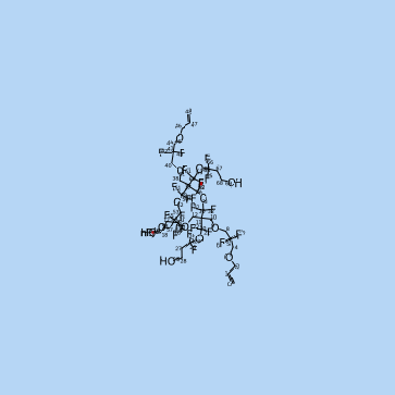 C=CCOCC(F)(F)COCC(COC(F)(F)CCO)(C(F)(F)OC(F)(F)CCO)C(F)(F)OC(F)(F)C(COCC(F)(F)COCC=C)(C(F)(F)OCC(F)(F)COCCC)C(F)(F)OC(F)(F)CCO